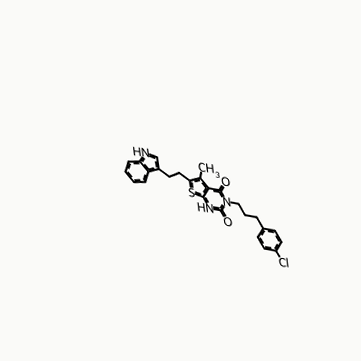 Cc1c(CCc2c[nH]c3ccccc23)sc2[nH]c(=O)n(CCCc3ccc(Cl)cc3)c(=O)c12